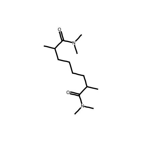 CC(CCCCC(C)C(=O)N(C)C)C(=O)N(C)C